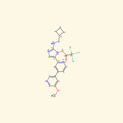 COc1cncc(-c2ccnc(-c3cnc(NCC4CCC4)n3OC(=O)C(F)(F)F)c2)c1